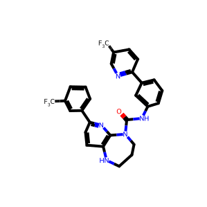 O=C(Nc1cccc(-c2ccc(C(F)(F)F)cn2)c1)N1CCCNc2ccc(-c3cccc(C(F)(F)F)c3)nc21